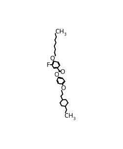 CCCCCCCCCOc1ccc(C(=O)Oc2ccc(OCCCC3CCC(CCC)CC3)cc2)cc1F